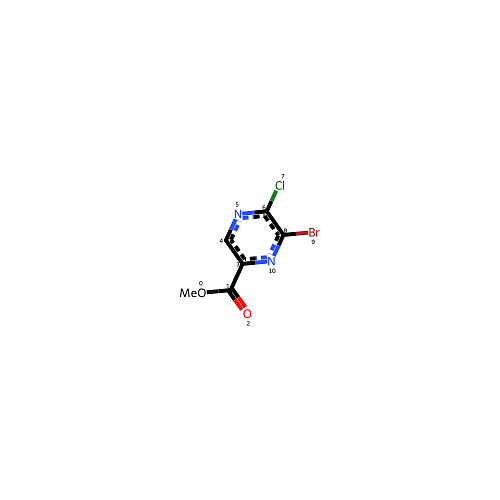 COC(=O)c1cnc(Cl)c(Br)n1